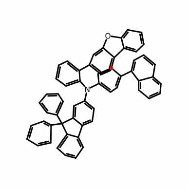 c1ccc(C2(c3ccccc3)c3ccccc3-c3ccc(N(c4ccc(-c5cccc6ccccc56)cc4)c4ccccc4-c4ccc5c(c4)oc4ccccc45)cc32)cc1